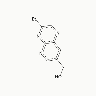 CCc1cnc2cc(CO)cnc2n1